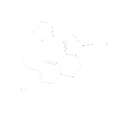 CCOC(=O)c1nc(-c2cccs2)c2c3cc(OC(C)C)c(OC)cc3ccn12